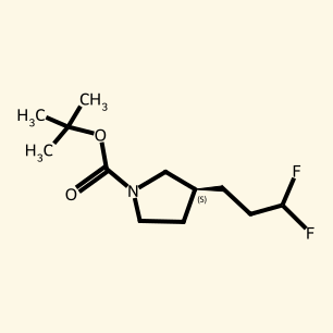 CC(C)(C)OC(=O)N1CC[C@H](CCC(F)F)C1